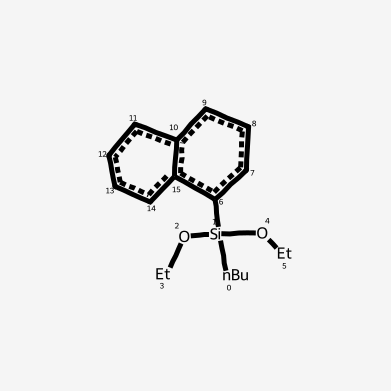 CCCC[Si](OCC)(OCC)c1cccc2ccccc12